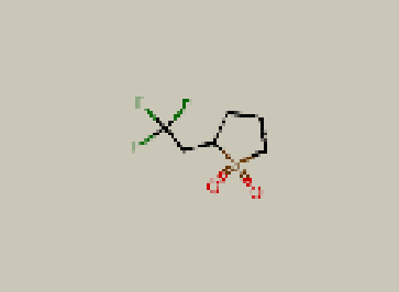 O=S1(=O)CCCC1CC(F)(F)F